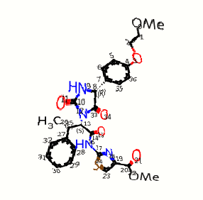 COCCOc1ccc([C@H]2NC(=O)N([C@H](C(=O)Nc3nc(C(=O)OC)cs3)[C@@H](C)c3ccccc3)C2=O)cc1